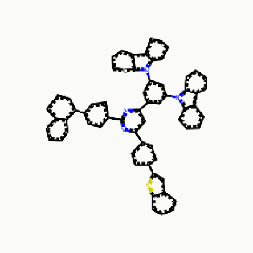 c1ccc2sc(-c3ccc(-c4cc(-c5cc(-n6c7ccccc7c7ccccc76)cc(-n6c7ccccc7c7ccccc76)c5)nc(-c5ccc(-c6cccc7ccccc67)cc5)n4)cc3)cc2c1